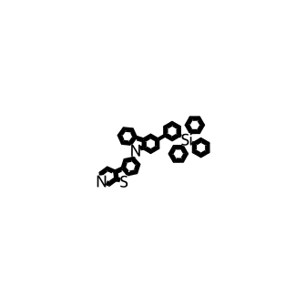 c1ccc([Si](c2ccccc2)(c2ccccc2)c2cccc(-c3ccc4c(c3)c3ccccc3n4-c3ccc4sc5cnccc5c4c3)c2)cc1